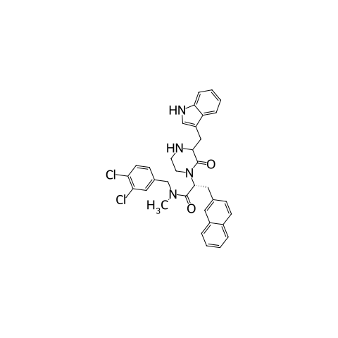 CN(Cc1ccc(Cl)c(Cl)c1)C(=O)[C@@H](Cc1ccc2ccccc2c1)N1CCNC(Cc2c[nH]c3ccccc23)C1=O